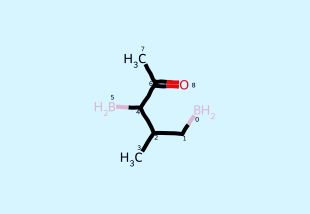 BCC(C)C(B)C(C)=O